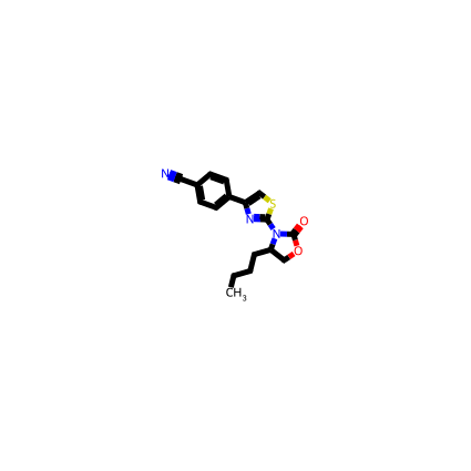 CCCCC1COC(=O)N1c1nc(-c2ccc(C#N)cc2)cs1